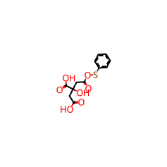 O=C(O)CC(O)(CC(=O)OSc1ccccc1)C(=O)O